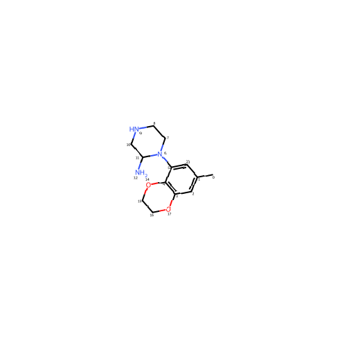 Cc1cc2c(c(N3CCNCC3N)c1)OCCO2